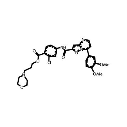 COc1ccc(-c2ccnc3cc(C(=O)Nc4ccc(C(=O)OCCCN5CCOCC5)c(Cl)c4)nn23)cc1OC